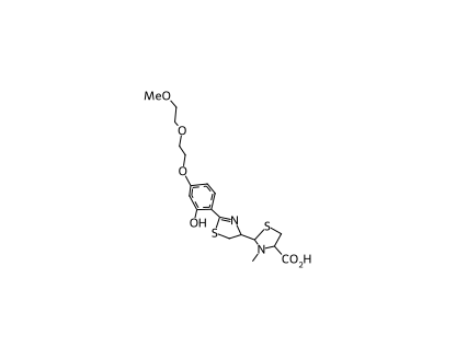 COCCOCCOc1ccc(C2=NC(C3SCC(C(=O)O)N3C)CS2)c(O)c1